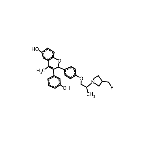 CC1=C(c2cccc(O)c2)C(c2ccc(OCC(C)N3CCC(CF)C3)cc2)Oc2ccc(O)cc21